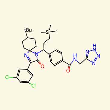 CC(C)(C)C1CCC2(CC1)N=C(c1cc(Cl)cc(Cl)c1)C(=O)N2[C@H](CC[Si](C)(C)C)c1ccc(C(=O)NCc2nn[nH]n2)cc1